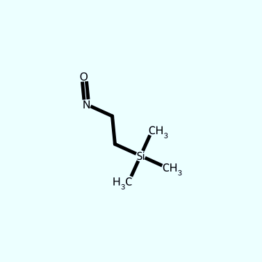 C[Si](C)(C)CCN=O